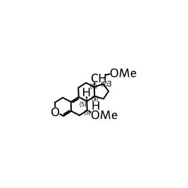 COC[C@@H]1CC[C@H]2[C@H]3C(=C4CCOC=C4C[C@@H]3OC)CC[C@]12C